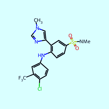 CNS(=O)(=O)c1ccc(Nc2ccc(Cl)c(C(F)(F)F)c2)c(-c2cn(C)cn2)c1